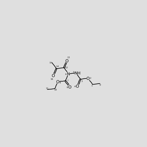 CCOC(=O)NN(C(=O)OCC)C(=O)C(C)=O